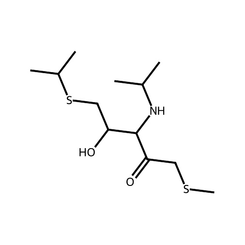 CSCC(=O)C(NC(C)C)C(O)CSC(C)C